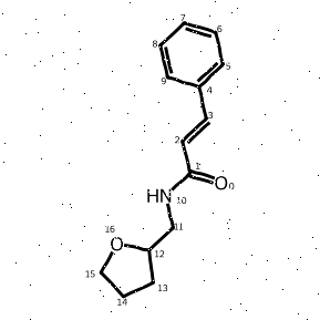 O=C(C=Cc1ccccc1)NCC1CCCO1